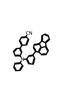 N#Cc1ccc(-c2cccc(N(c3ccccc3)c3cccc(-c4ccc5c6c(cccc46)-c4ccccc4-5)c3)c2)cc1